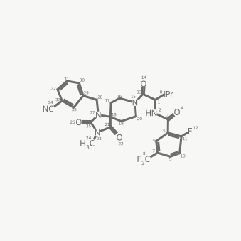 CC(C)C(NC(=O)c1cc(C(F)(F)F)ccc1F)C(=O)N1CCC2(CC1)C(=O)N(C)C(=O)N2Cc1cccc(C#N)c1